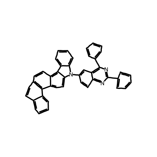 c1ccc(-c2nc(-c3ccccc3)c3cc(-n4c5ccccc5c5c6ccc7ccc8ccccc8c7c6ccc54)ccc3n2)cc1